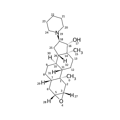 C[C@]12C[C@@H]3O[C@@H]3C[C@@H]1CC[C@@H]1[C@@H]2CC[C@]2(C)[C@@H](O)[C@H](N3CCCCC3)C[C@@H]12